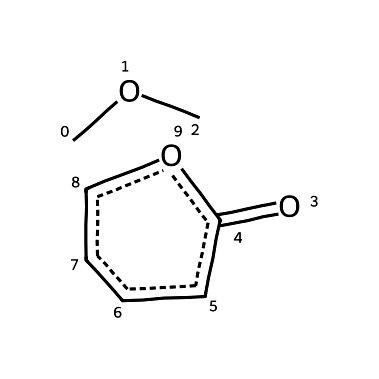 COC.O=c1cccco1